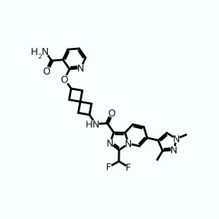 Cc1nn(C)cc1-c1ccc2c(C(=O)NC3CC4(C3)CC(Oc3ncccc3C(N)=O)C4)nc(C(F)F)n2c1